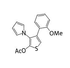 COc1ccccc1-c1csc(OC(C)=O)c1-n1cccc1